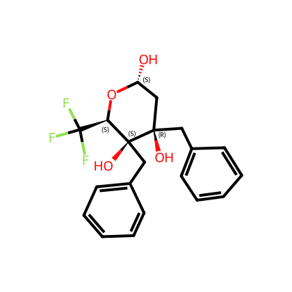 O[C@@H]1C[C@](O)(Cc2ccccc2)[C@](O)(Cc2ccccc2)[C@@H](C(F)(F)F)O1